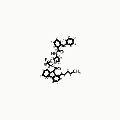 CCCCCc1cccc2c1C(C(=O)N(CC(F)(F)F)N1CCC(NC(=O)c3ccccc3Oc3ccccc3)C1)c1ccccc1-2